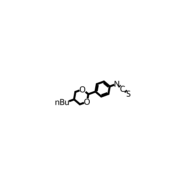 CCCCC1COC(c2ccc(N=C=S)cc2)OC1